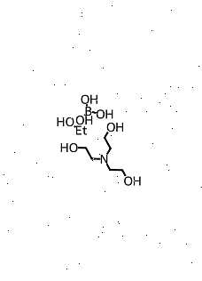 CCO.OB(O)O.OCCN(CCO)CCO